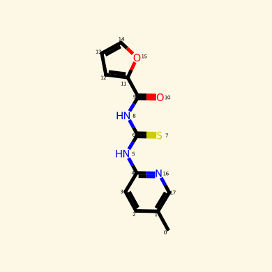 Cc1ccc(NC(=S)NC(=O)c2ccco2)nc1